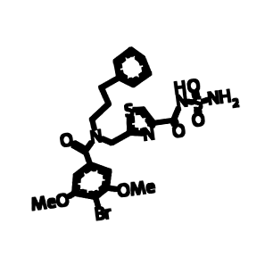 COc1cc(C(=O)N(CCCc2ccccc2)Cc2nc(C(=O)NS(N)(=O)=O)cs2)cc(OC)c1Br